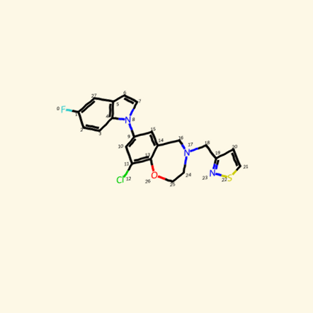 Fc1ccc2c(ccn2-c2cc(Cl)c3c(c2)CN(Cc2ccsn2)CCO3)c1